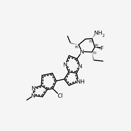 CC[C@@H]1C[C@H](N)[C@@H](F)[C@H](CC)N1c1cnc2c(-c3ccc4nn(C)cc4c3Cl)c[nH]c2n1